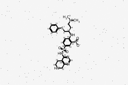 CN(C)CC[C@H](CSc1ccccc1)Nc1ccc(S(=O)(=O)Nc2ncnc3c2CCNC3)cc1[N+](=O)[O-]